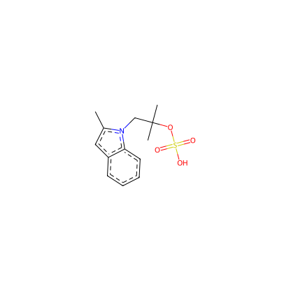 Cc1cc2ccccc2n1CC(C)(C)OS(=O)(=O)O